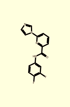 O=C(Nc1ccc(F)c(F)c1)c1cccc(-n2ccnc2)n1